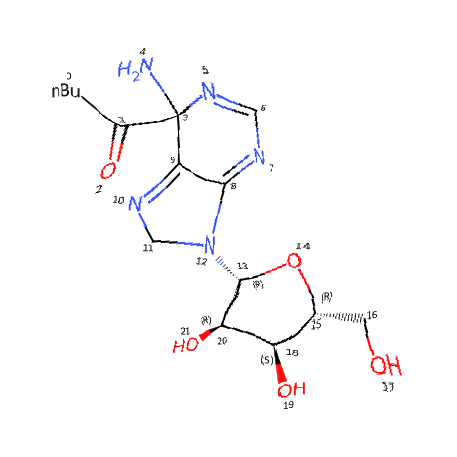 CCCCC(=O)C1(N)N=CN=C2C1=NCN2[C@@H]1O[C@H](CO)[C@@H](O)[C@H]1O